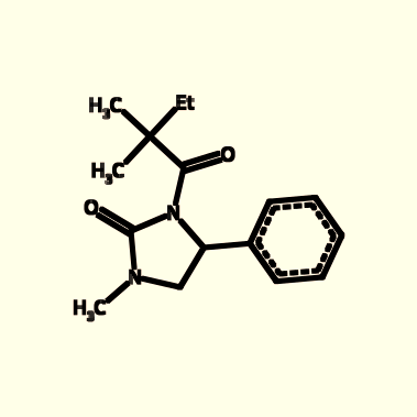 CCC(C)(C)C(=O)N1C(=O)N(C)CC1c1ccccc1